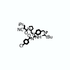 CC(C)C=C(C#N)C(=O)N1CCCC1Cn1c(=NC(=O)c2ccc(Cl)cc2)[nH]c2cc(CN(C)C(C)C(C)(C)C)ccc21